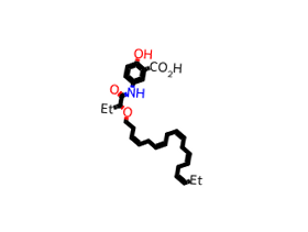 CC/C=C\C/C=C\C/C=C\C/C=C\C/C=C\CCOC(CC)C(=O)Nc1ccc(O)c(C(=O)O)c1